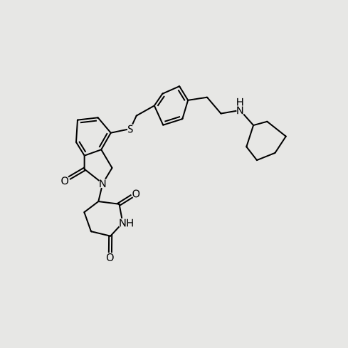 O=C1CCC(N2Cc3c(SCc4ccc(CCNC5CCCCC5)cc4)cccc3C2=O)C(=O)N1